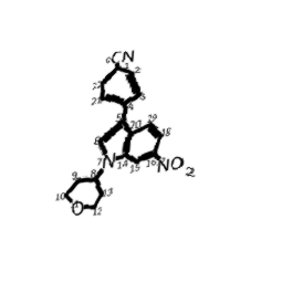 N#Cc1ccc(-c2cn(C3CCOCC3)c3cc([N+](=O)[O-])ccc23)cc1